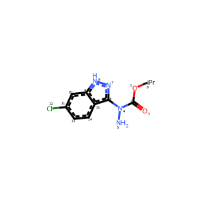 CC(C)OC(=O)N(N)c1n[nH]c2cc(Cl)ccc12